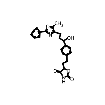 Cc1oc(-c2ccccc2)nc1CCC(O)c1ccc(CCC2OC(=O)NC2=O)cc1